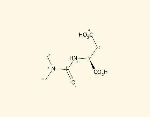 CN(C)C(=O)N[C@@H](CC(=O)O)C(=O)O